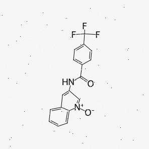 O=C(Nc1cc2ccccc2[n+]([O-])c1)c1ccc(C(F)(F)F)cc1